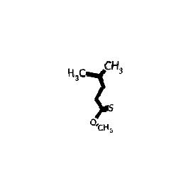 COC(=S)CCC(C)C